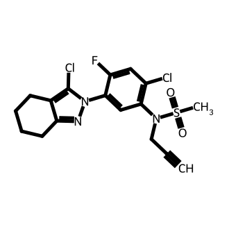 C#CCN(c1cc(-n2nc3c(c2Cl)CCCC3)c(F)cc1Cl)S(C)(=O)=O